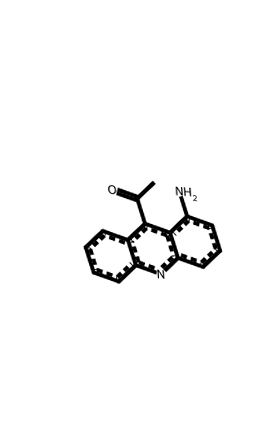 CC(=O)c1c2ccccc2nc2cccc(N)c12